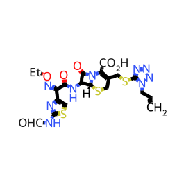 C=CCn1nnnc1SCC1=C(C(=O)O)N2C(=O)C(NC(=O)/C(=N\OCC)c3csc(NC=O)n3)[C@H]2SC1